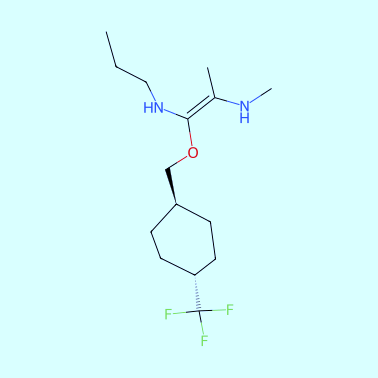 CCCN/C(OC[C@H]1CC[C@H](C(F)(F)F)CC1)=C(\C)NC